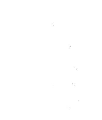 CC1CN(CC(=O)N2CCc3cnc(Cc4ccccc4)cc32)CCN1C(=O)OC(C)(C)C